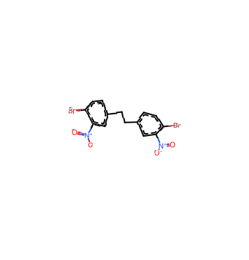 O=[N+]([O-])c1cc(CCc2ccc(Br)c([N+](=O)[O-])c2)ccc1Br